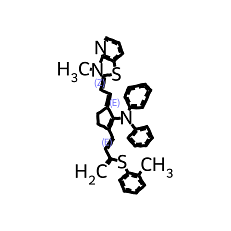 C=C(/C=C/C1=C(N(c2ccccc2)c2ccccc2)C(=C/C=C2\Sc3cccnc3N2C)/CC1)Sc1ccccc1C